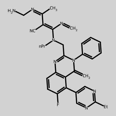 C=N/C(=C(C#N)\C(C)=N/CN)N(CCC)CC1=Nc2ccc(F)c(-c3cnc(CC)nc3)c2C(=C)N1c1ccccc1